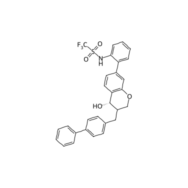 O=S(=O)(Nc1ccccc1-c1ccc2c(c1)OCC(Cc1ccc(-c3ccccc3)cc1)[C@@H]2O)C(F)(F)F